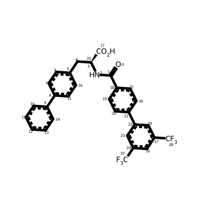 O=C(N[C@@H](Cc1ccc(-c2ccccc2)cc1)C(=O)O)c1ccc(-c2cc(C(F)(F)F)cc(C(F)(F)F)c2)cc1